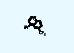 CC(C)c1ccnc2ccc(C(F)(F)F)cc12